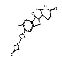 O=C1CN(C2CN(c3cc4c(cc3F)C(=O)N(C3CCC(=O)NC3=O)C4)C2)C1